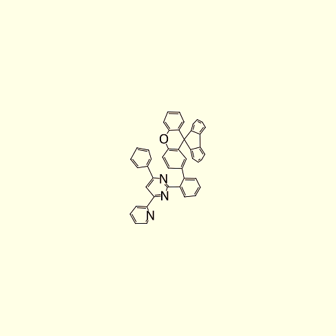 c1ccc(-c2cc(-c3ccccn3)nc(-c3ccccc3-c3ccc4c(c3)C3(c5ccccc5O4)c4ccccc4-c4ccccc43)n2)cc1